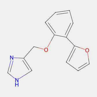 c1coc(-c2ccccc2OCc2c[nH]cn2)c1